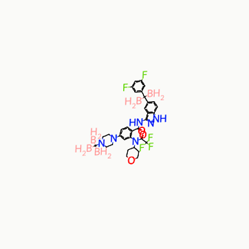 BC(B)(c1cc(F)cc(F)c1)c1ccc2[nH]nc(NC(=O)c3ccc(N4CCN(C(B)(B)B)CC4)cc3N(C(=O)C(F)(F)F)C3CCOCC3)c2c1